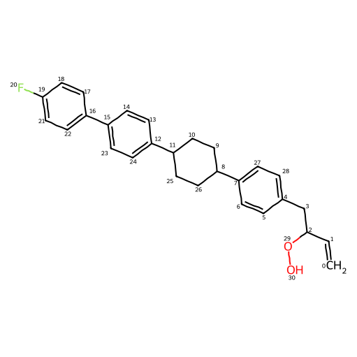 C=CC(Cc1ccc(C2CCC(c3ccc(-c4ccc(F)cc4)cc3)CC2)cc1)OO